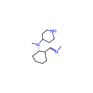 CN=CC1CCCC[C@@H]1N(C)C1CCNCC1